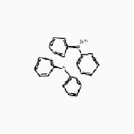 [Sr+2].c1ccc([P-]c2ccccc2)cc1.c1ccc([P-]c2ccccc2)cc1